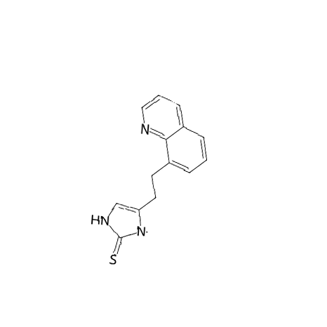 S=C1[N]C(CCc2cccc3cccnc23)=CN1